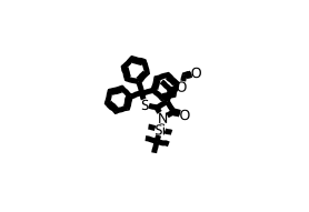 CC(OC=O)C1C(=O)N([Si](C)(C)C(C)(C)C)C1SC(c1ccccc1)(c1ccccc1)c1ccccc1